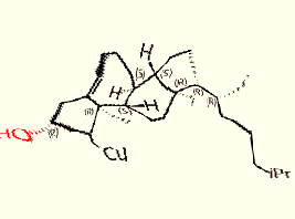 CC(C)CCC[C@@H](C)[C@H]1CC[C@H]2[C@@H]3CC=C4C[C@@H](O)C[CH]([Cu])[C@]4(C)[C@H]3CC[C@]12C